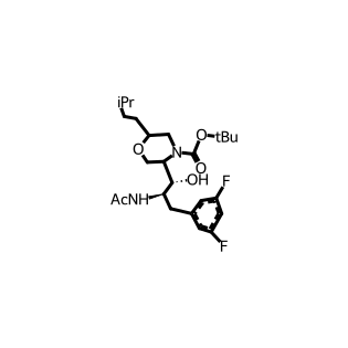 CC(=O)N[C@H](Cc1cc(F)cc(F)c1)[C@@H](O)C1COC(CCC(C)C)CN1C(=O)OC(C)(C)C